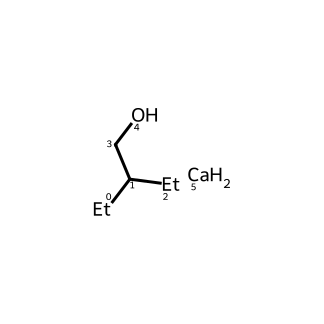 CCC(CC)CO.[CaH2]